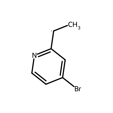 C[CH]c1cc(Br)ccn1